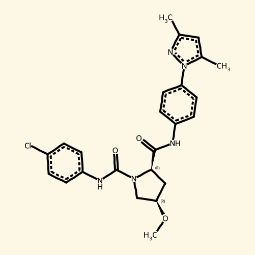 CO[C@@H]1C[C@H](C(=O)Nc2ccc(-n3nc(C)cc3C)cc2)N(C(=O)Nc2ccc(Cl)cc2)C1